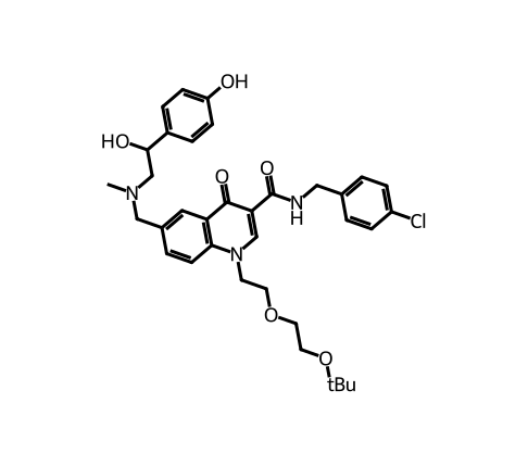 CN(Cc1ccc2c(c1)c(=O)c(C(=O)NCc1ccc(Cl)cc1)cn2CCOCCOC(C)(C)C)CC(O)c1ccc(O)cc1